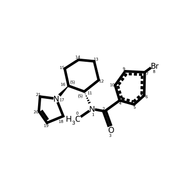 CN(C(=O)c1ccc(Br)cc1)[C@H]1CCCC[C@@H]1N1CC=CC1